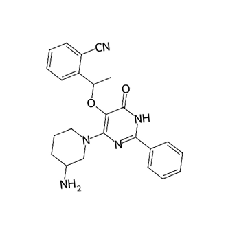 CC(Oc1c(N2CCCC(N)C2)nc(-c2ccccc2)[nH]c1=O)c1ccccc1C#N